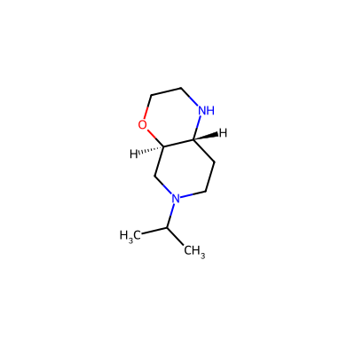 CC(C)N1CC[C@H]2NCCO[C@@H]2C1